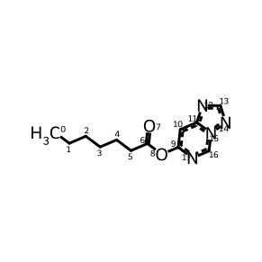 CCCCCCC(=O)Oc1cc2ncnn2cn1